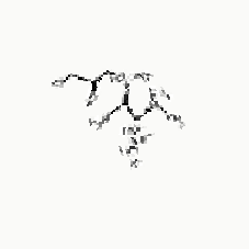 CN(C)CC(N)=S.Cl.O=C(CCl)CCl.O=C([O-])O.[K+].[Na+].[OH-]